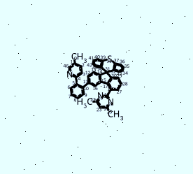 Cc1ccc(-c2ccccc2-c2ccc3c(c2)-c2c(-c4nc(C)cc(C)n4)cccc2C32c3ccccc3Sc3ccccc32)nc1